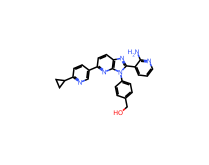 Nc1ncccc1-c1nc2ccc(-c3ccc(C4CC4)nc3)nc2n1-c1ccc(CO)cc1